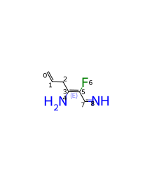 C=CC/C(N)=C(\F)C=N